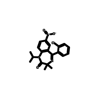 CC(C)N1C(=O)C(C)(C)N=C(c2ccccc2Cl)c2cc([N+](=O)[O-])ccc21